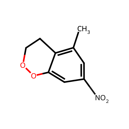 Cc1cc([N+](=O)[O-])cc2c1CCOO2